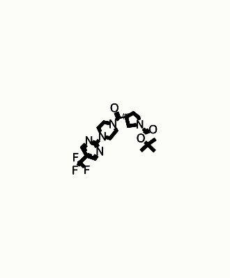 CC(C)(C)OC(=O)N1CC[C@H](C(=O)N2CCN(c3ncc(C(F)(F)F)cn3)CC2)C1